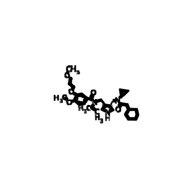 COCCCOc1cc(C(=O)N(C[C@@H]2CNC[C@H]2CN(C(=O)CC2CCCCC2)C2CC2)C(C)C)ccc1OC